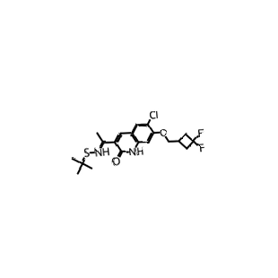 CC(NSC(C)(C)C)c1cc2cc(Cl)c(OCC3CC(F)(F)C3)cc2[nH]c1=O